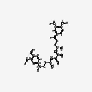 COc1ccc(N(C)CCC(Cl)OC(=O)C(=O)OC(Cl)CCN(C)c2ccc(OC)c(OC)c2)cc1OC